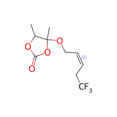 CC1OC(=O)OC1(C)OC/C=C\CC(F)(F)F